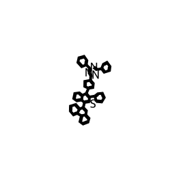 c1ccc(-c2nc(-c3ccccc3)nc(-c3ccc(-c4c5ccccc5c(-c5cc6ccccc6c6ccccc56)c5sc6ccccc6c45)cc3)n2)cc1